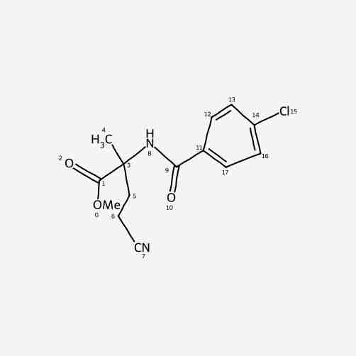 COC(=O)C(C)(CCC#N)NC(=O)c1ccc(Cl)cc1